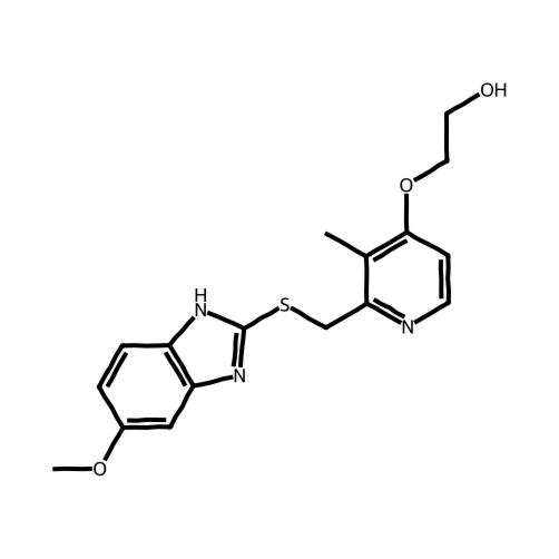 COc1ccc2[nH]c(SCc3nccc(OCCO)c3C)nc2c1